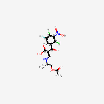 CC(=O)OC[C@H](C)NC=C(C(=O)O)C(=O)c1cc(F)c(Cl)c([N+](=O)[O-])c1Cl